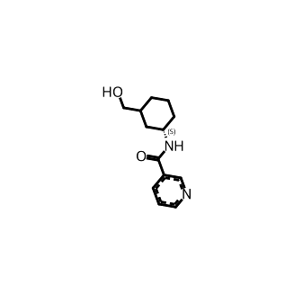 O=C(N[C@H]1CCCC(CO)C1)c1cccnc1